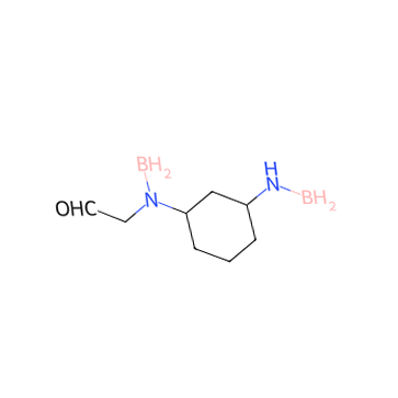 BNC1CCCC(N(B)CC=O)C1